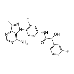 Cc1nn(-c2ccc(NC(=O)C(O)c3cccc(F)c3)cc2F)c2c(N)ncnc12